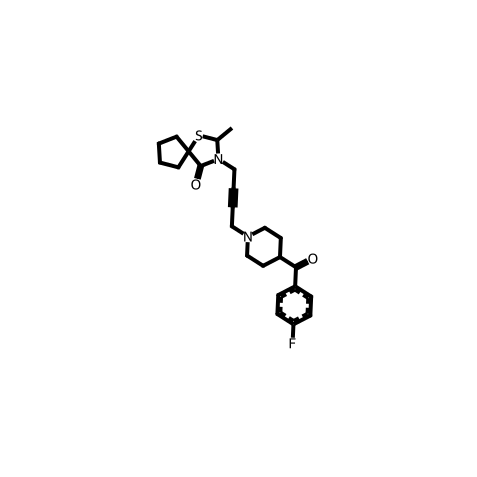 CC1SC2(CCCC2)C(=O)N1CC#CCN1CCC(C(=O)c2ccc(F)cc2)CC1